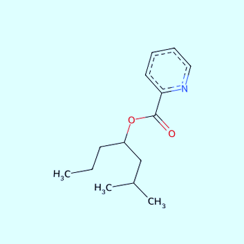 CCCC(CC(C)C)OC(=O)c1ccccn1